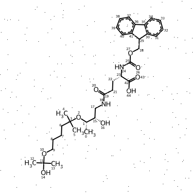 C[C@H](OC(C)(C)CCCCOC(C)(C)O)[C@@H](O)CNC(=O)CC[C@H](NC(=O)OCC1c2ccccc2-c2ccccc21)C(=O)O